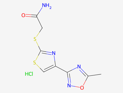 Cc1nc(-c2csc(SCC(N)=O)n2)no1.Cl